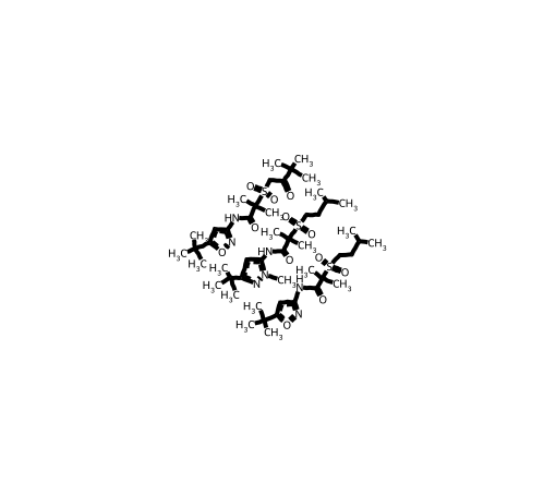 CC(C)(C)C(=O)CS(=O)(=O)C(C)(C)C(=O)Nc1cc(C(C)(C)C)on1.CC(C)CCS(=O)(=O)C(C)(C)C(=O)Nc1cc(C(C)(C)C)nn1C.CC(C)CCS(=O)(=O)C(C)(C)C(=O)Nc1cc(C(C)(C)C)on1